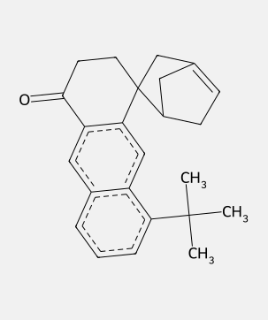 CC(C)(C)c1cccc2cc3c(cc12)C1(CCC3=O)CC2=CCC1C2